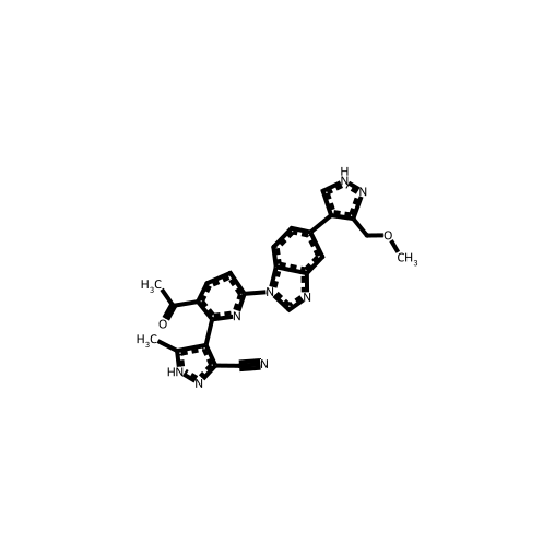 COCc1n[nH]cc1-c1ccc2c(c1)ncn2-c1ccc(C(C)=O)c(-c2c(C#N)n[nH]c2C)n1